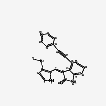 COc1cc[nH]c1C=C1C(=O)Nc2cccc(C#Cc3ccncc3)c21